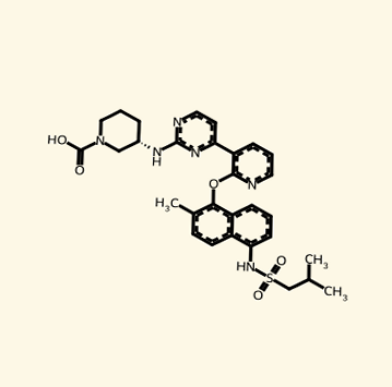 Cc1ccc2c(NS(=O)(=O)CC(C)C)cccc2c1Oc1ncccc1-c1ccnc(N[C@H]2CCCN(C(=O)O)C2)n1